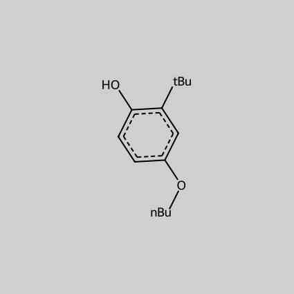 CCCCOc1ccc(O)c(C(C)(C)C)c1